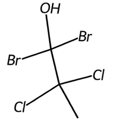 CC(Cl)(Cl)C(O)(Br)Br